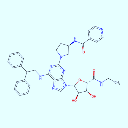 CCNC(=O)[C@H]1O[C@@H](n2cnc3c(NCC(c4ccccc4)c4ccccc4)nc(N4CC[C@@H](NC(=O)c5ccncc5)C4)nc32)[C@H](O)[C@@H]1O